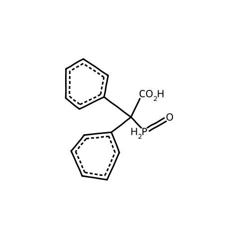 O=[PH2]C(C(=O)O)(c1ccccc1)c1ccccc1